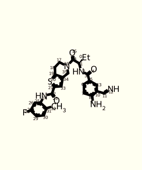 CC[C@@H](NC(=O)c1ccc(N)c(C=N)c1)C(=O)N1CCc2sc(C(=O)Nc3cc(F)ccc3C)cc2C1